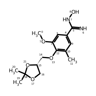 COc1cc(C(=N)NO)cc(C)c1OC[C@@H]1COC(C)(C)O1